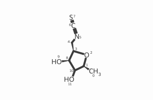 C[C@@H]1O[C@H](CN=C=S)[C@H](O)C1O